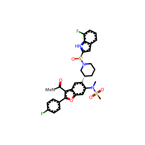 CNC(=O)c1c(-c2ccc(F)cc2)oc2cc(N(C)S(C)(=O)=O)c([C@H]3CCCN([S+]([O-])c4cc5cccc(F)c5[nH]4)C3)cc12